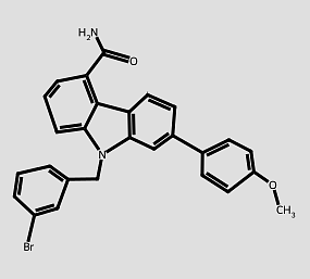 COc1ccc(-c2c[c]c3c4c(C(N)=O)cccc4n(Cc4cccc(Br)c4)c3c2)cc1